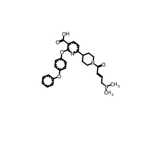 CN(C)CC=CC(=O)N1CCC(c2ccc(C(=O)O)c(Oc3ccc(Oc4ccccc4)cc3)n2)CC1